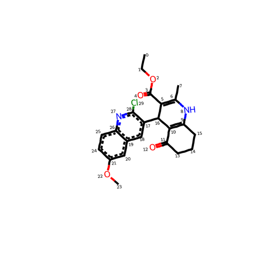 CCOC(=O)C1=C(C)NC2=C(C(=O)CCC2)C1c1cc2cc(OC)ccc2nc1Cl